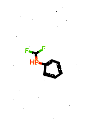 FC(F)Pc1ccccc1